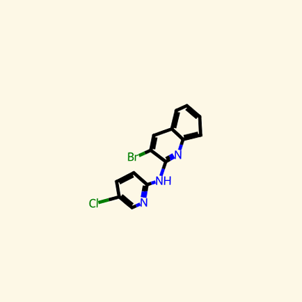 Clc1ccc(Nc2nc3ccccc3cc2Br)nc1